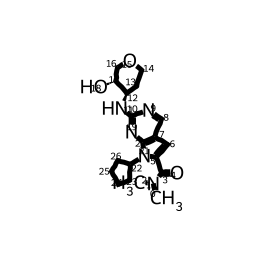 CN(C)C(=O)c1cc2cnc(N[C@@H]3CCOC[C@H]3O)nc2n1C1CCCC1